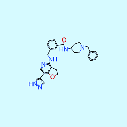 O=C(NC1CCN(Cc2ccccc2)CC1)c1cccc(CNc2ncc(-c3cn[nH]c3)c3c2CCO3)c1